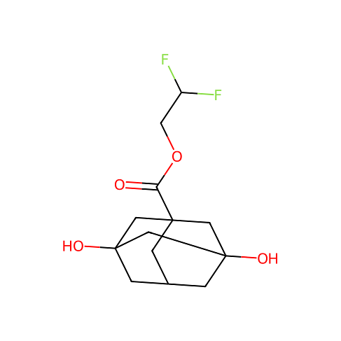 O=C(OCC(F)F)C12CC3CC(O)(CC(O)(C3)C1)C2